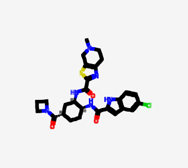 CN1CCc2nc(C(=O)N[C@@H]3C[C@@H](C(=O)N4CCC4)CC[C@@H]3NC(=O)c3cc4cc(Cl)ccc4[nH]3)sc2C1